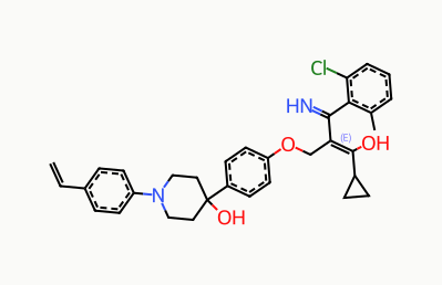 C=Cc1ccc(N2CCC(O)(c3ccc(OC/C(C(=N)c4c(C)cccc4Cl)=C(/O)C4CC4)cc3)CC2)cc1